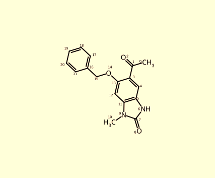 CC(=O)c1cc2[nH]c(=O)n(C)c2cc1OCc1ccccc1